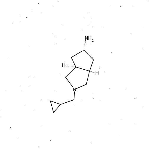 N[C@H]1C[C@@H]2CN(CC3CC3)C[C@@H]2C1